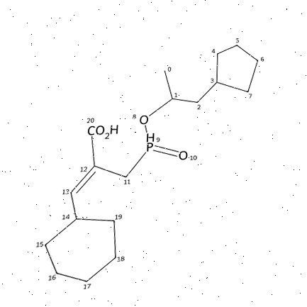 CC(CC1CCCC1)O[PH](=O)CC(=CC1CCCCC1)C(=O)O